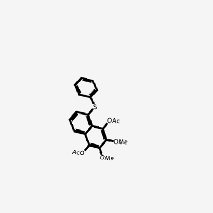 COc1c(OC)c(OC(C)=O)c2c(Sc3ccccc3)cccc2c1OC(C)=O